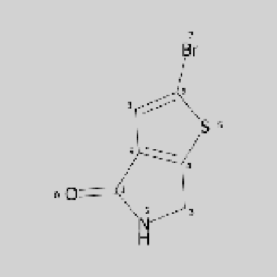 O=C1NCc2sc(Br)cc21